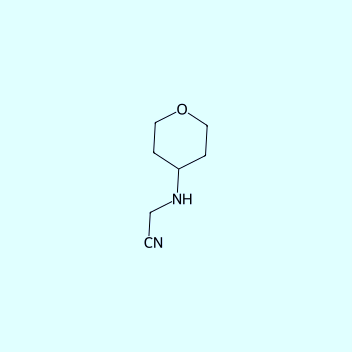 N#CCNC1CCOCC1